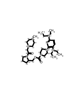 CCN(CC)c1ccc(N(CC)CC)c(N2CCN(C(=O)OCC3CCCN3C(=O)CN3CCN(C)CC3)CC2)n1